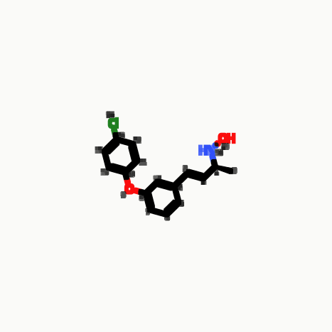 C[C@@H](C=Cc1cccc(Oc2ccc(Cl)cc2)c1)NO